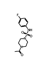 CC(=O)N1CCN(S(=O)(=O)Nc2ccc(F)cc2)CC1